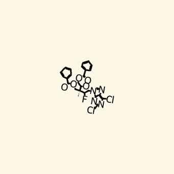 C[C@]1(COC(=O)c2ccccc2)C(COC(=O)c2ccccc2)OC(n2cnc3c(Cl)nc(Cl)nc32)C1F